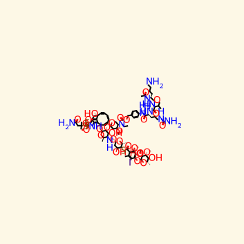 CCN(C(=O)OCc1ccc(NC(=O)[C@H](CCCNC(N)=O)NC(=O)[C@@H](NC(=O)[C@H](CCCCN)NC(C)=O)C(C)C)cc1)[C@H]1CO[C@@H](O[C@H]2[C@H](O[C@H]3C#CC=CC#C[C@]4(O)CC(=O)C(NC(=O)OC)=C3/C4=C\CSSC(C)(C)CC(N)=O)O[C@H](C)[C@@H](NO[C@H]3C[C@H](O)[C@H](SC(=O)c4c(C)c(I)c(O[C@@H]5O[C@@H](C)[C@H](O)[C@@H](OC)[C@H]5O)c(OC)c4OC)[C@@H](C)O3)[C@@H]2O)C[C@@H]1OC